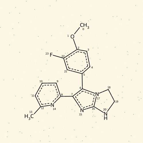 COc1ccc(-c2c(-c3cccc(C)n3)nc3n2CCN3)cc1F